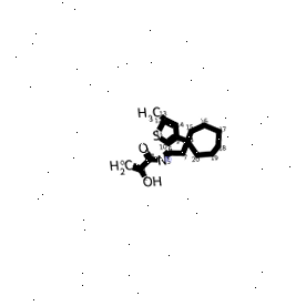 C=C(O)C(=O)/N=C/CC1(c2csc(C)c2)CCCCCC1